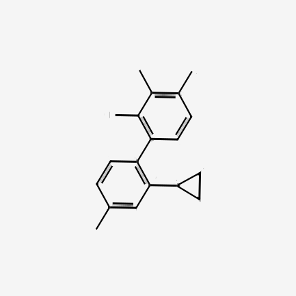 Cc1ccc(-c2ccc(C)c(C)c2F)c(C2CC2)c1